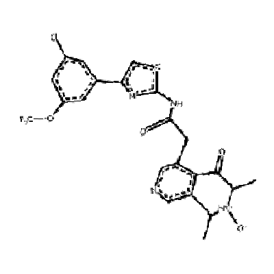 CC1C(=O)c2c(CC(=O)Nc3nc(-c4cc(Cl)cc(OC(F)(F)F)c4)cs3)cncc2C(C)[NH+]1[O-]